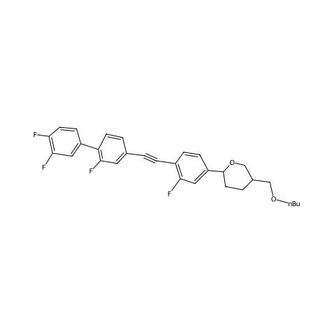 CCCCOCC1CCC(c2ccc(C#Cc3ccc(-c4ccc(F)c(F)c4)c(F)c3)c(F)c2)OC1